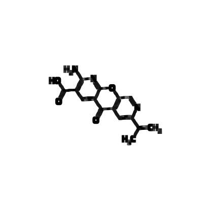 C=C(C)c1cc2c(=O)c3cc(C(=O)O)c(N)nc3oc2cn1